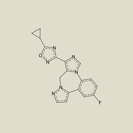 Fc1ccc2c(c1)-c1ccnn1Cc1c(-c3noc(C4CC4)n3)ncn1-2